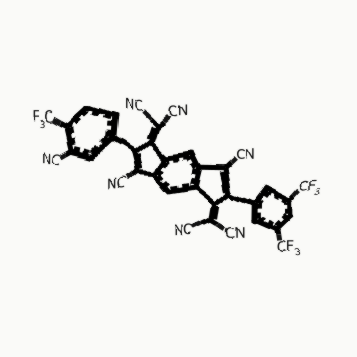 N#CC(C#N)=C1C(c2cc(C(F)(F)F)cc(C(F)(F)F)c2)=C(C#N)c2cc3c(cc21)C(C#N)=C(c1ccc(C(F)(F)F)c(C#N)c1)C3=C(C#N)C#N